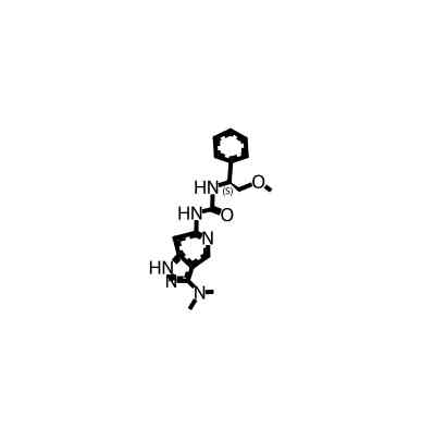 COC[C@@H](NC(=O)Nc1cc2[nH]nc(N(C)C)c2cn1)c1ccccc1